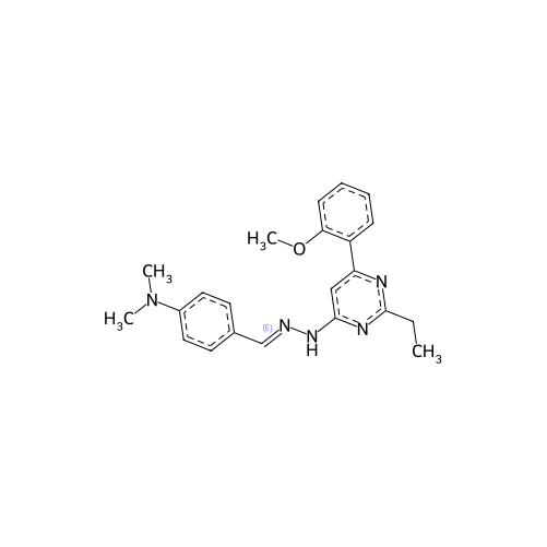 CCc1nc(N/N=C/c2ccc(N(C)C)cc2)cc(-c2ccccc2OC)n1